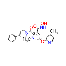 Cc1ccnc(O[C@H]2C[C@H](C(=O)NO)[C@@H](C(=O)N3CC=C(c4ccccc4)CC3)N(C)C2)c1